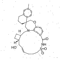 Cc1ccc2c(c1)CCC[C@]21COc2ccc3cc2N(C[C@@H]2CC[C@H]2[C@@H](O)/C=C/CC[C@@H](C)S(=O)(=O)NC3=O)C1